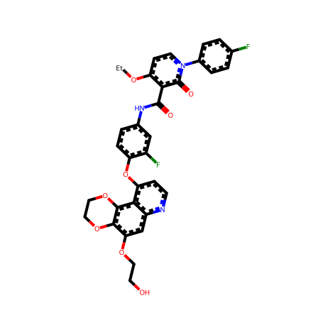 CCOc1ccn(-c2ccc(F)cc2)c(=O)c1C(=O)Nc1ccc(Oc2ccnc3cc(OCCO)c4c(c23)OCCO4)c(F)c1